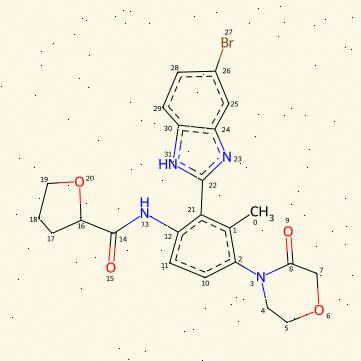 Cc1c(N2CCOCC2=O)ccc(NC(=O)C2CCCO2)c1-c1nc2cc(Br)ccc2[nH]1